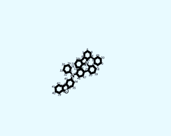 c1ccc(-c2cccc3c4ccccc4n(-c4ccccc4-c4ccc(N(c5ccccc5)c5ccc6oc7ccccc7c6c5)cc4)c23)cc1